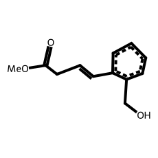 COC(=O)C/C=C/c1ccccc1CO